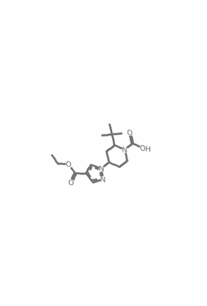 CCOC(=O)c1cnn(C2CCN(C(=O)O)C(C(C)(C)C)C2)c1